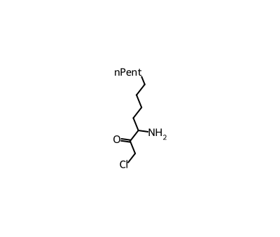 CCCCCCCCCC(N)C(=O)CCl